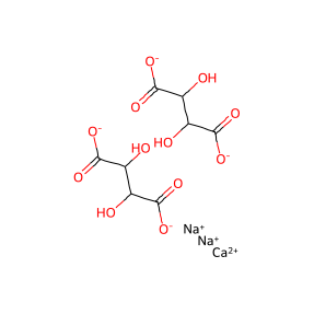 O=C([O-])C(O)C(O)C(=O)[O-].O=C([O-])C(O)C(O)C(=O)[O-].[Ca+2].[Na+].[Na+]